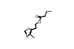 CCCC(=O)OCCc1scnc1C